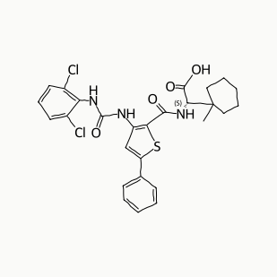 CC1([C@H](NC(=O)c2sc(-c3ccccc3)cc2NC(=O)Nc2c(Cl)cccc2Cl)C(=O)O)CCCCC1